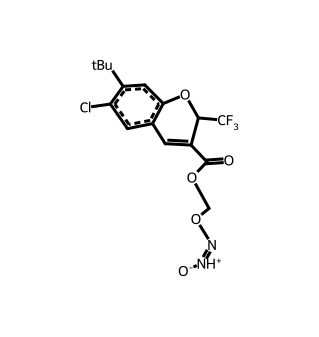 CC(C)(C)c1cc2c(cc1Cl)C=C(C(=O)OCO/N=[NH+]\[O-])C(C(F)(F)F)O2